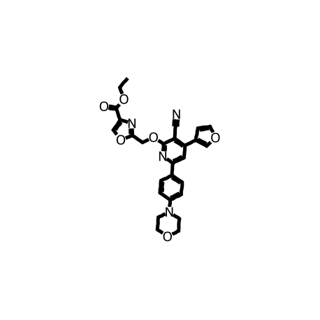 CCOC(=O)c1coc(COc2nc(-c3ccc(N4CCOCC4)cc3)cc(-c3ccoc3)c2C#N)n1